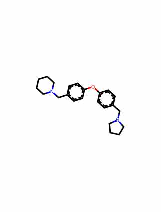 c1cc(Oc2ccc(CN3CCCC3)cc2)ccc1CN1CCCCC1